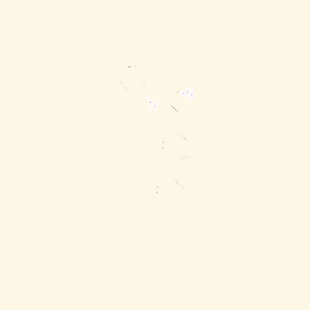 CCOC(=O)N(c1cccc(O)c1)c1c(C)noc1-c1ccc(-c2ccc(CC(=O)O)cc2)cc1